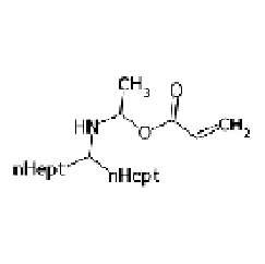 C=CC(=O)OC(C)NC(CCCCCCC)CCCCCCC